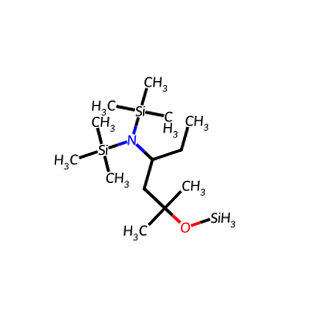 CCC(CC(C)(C)O[SiH3])N([Si](C)(C)C)[Si](C)(C)C